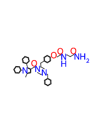 Cc1cc(C(=O)N2CCN(Cc3ccccc3)CC2Cc2ccc(OCC(=O)NCCC(N)=O)cc2)c(-c2ccccc2)n1-c1ccccc1